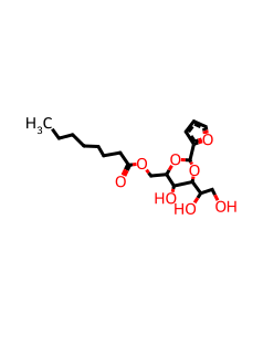 CCCCCCCC(=O)OCC1OC(c2ccco2)OC(C(O)CO)C1O